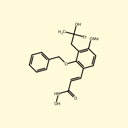 CCC(C)(O)Cc1c(OC)ccc(C=CC(=O)NO)c1OCc1ccccc1